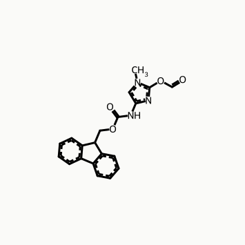 Cn1cc(NC(=O)OCC2c3ccccc3-c3ccccc32)nc1OC=O